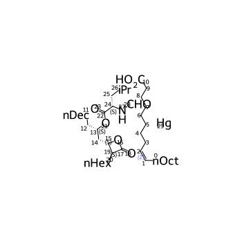 CCCCCCCC/C=C\CCCCCCCC(=O)O.CCCCCCCCCCC[C@@H](C[C@@H]1OC(=O)[C@H]1CCCCCC)OC(=O)[C@H](CC(C)C)NC=O.[Hg]